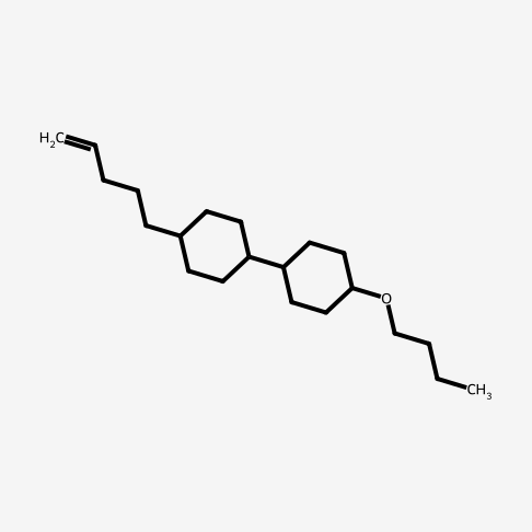 C=CCCCC1CCC(C2CCC(OCCCC)CC2)CC1